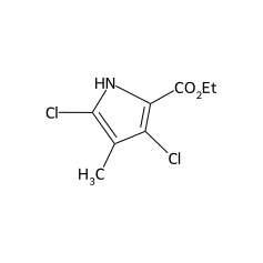 CCOC(=O)c1[nH]c(Cl)c(C)c1Cl